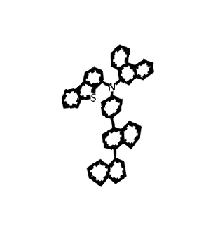 c1ccc2c(-c3ccc(-c4ccc(N(c5cc6ccccc6c6ccccc56)c5cccc6c5sc5ccccc56)cc4)c4ccccc34)cccc2c1